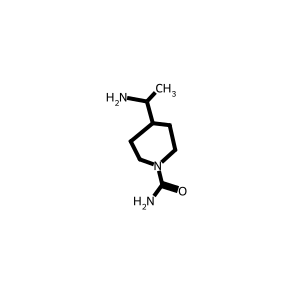 CC(N)C1CCN(C(N)=O)CC1